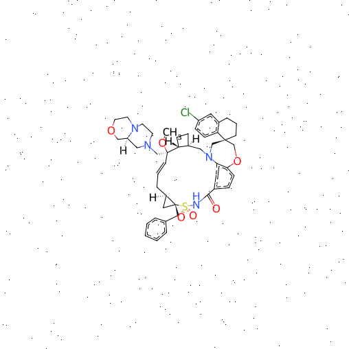 CO[C@]1(CN2CCN3CCOC[C@@H]3C2)/C=C/C[C@@H]2C[C@@]2(Cc2ccccc2)S(=O)(=O)NC(=O)c2ccc3c(c2)N(C[C@@H]2CC[C@H]21)C[C@@]1(CCCc2cc(Cl)ccc21)CO3